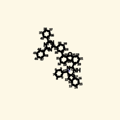 N=C(/N=C(/c1ccccc1)c1cc2ccccc2s1)c1cccc2oc3c(-c4cccc(-c5nc(-c6ccccc6)nc(-c6ccccc6)n5)c4)cccc3c12